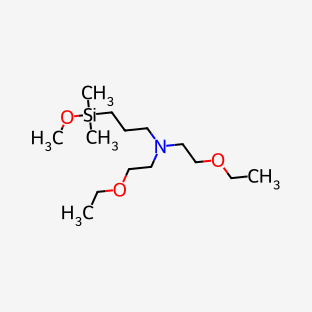 CCOCCN(CCC[Si](C)(C)OC)CCOCC